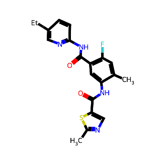 CCc1ccc(NC(=O)c2cc(NC(=O)c3cnc(C)s3)c(C)cc2F)nc1